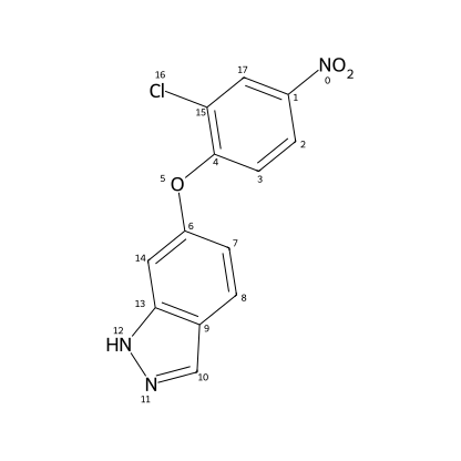 O=[N+]([O-])c1ccc(Oc2ccc3cn[nH]c3c2)c(Cl)c1